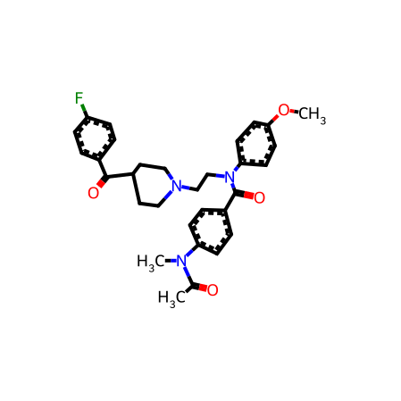 COc1ccc(N(CCN2CCC(C(=O)c3ccc(F)cc3)CC2)C(=O)c2ccc(N(C)C(C)=O)cc2)cc1